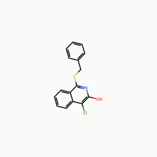 Oc1nc(SCc2ccccc2)c2ccccc2c1Cl